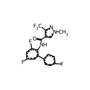 Cn1cc(C(=O)Nc2c(F)cc(F)cc2-c2ccc(F)cc2)c(C(F)(F)F)n1